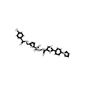 O=C(NCc1ccc(S(=O)(=O)NNC(=O)c2csc(-c3ccc(-n4cccc4)cc3)n2)s1)c1ccc(Cl)cc1